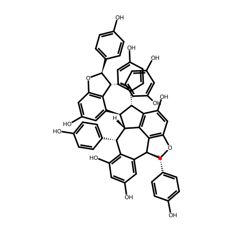 Oc1ccc([C@H]2c3c(O)cc(O)cc3[C@H]3c4c(cc(O)c5c4[C@H]2[C@@H](c2cc(O)cc4c2[C@@H](c2cc(O)cc(O)c2)[C@H](c2ccc(O)cc2)O4)[C@@H]5c2ccc(O)cc2)O[C@@H]3c2ccc(O)cc2)cc1